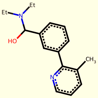 CCN(CC)C(O)c1cccc(-c2ncccc2C)c1